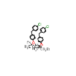 CCOC(=O)C(C)(CC)Oc1ccc(Cc2ccc(Cl)cc2)cc1.CCOC(=O)C(C)(CC)Oc1ccc(Cc2ccc(Cl)cc2)cc1